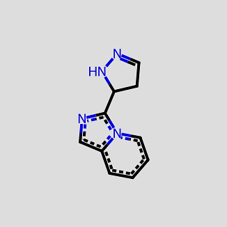 C1=NNC(c2ncc3ccccn23)C1